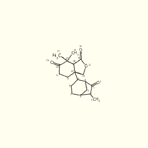 CC1C(=O)C2CC1CCC2C12CCC(=O)C(C)(C)C1C(=O)OC2